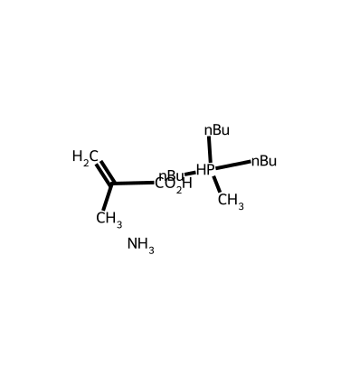 C=C(C)C(=O)O.CCCC[PH](C)(CCCC)CCCC.N